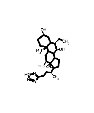 CC[C@@H]1C2C[C@H](O)CCC2(C)C2C[C@H](O)C3(C)C(CCC3[C@H](C)CCc3nn[nH]n3)C2[C@@H]1O